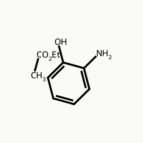 CCOC(C)=O.Nc1ccccc1O